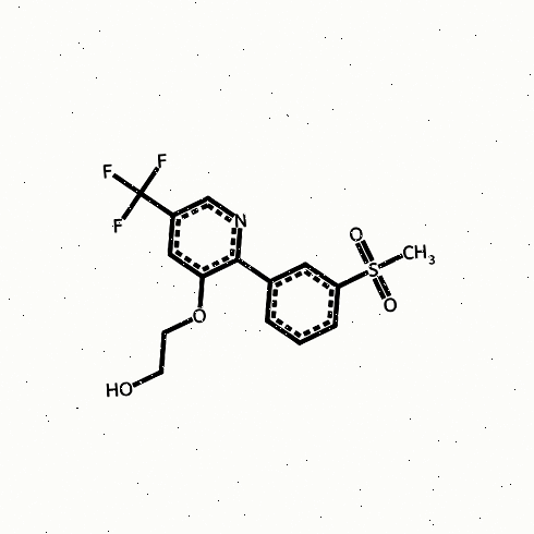 CS(=O)(=O)c1cccc(-c2ncc(C(F)(F)F)cc2OCCO)c1